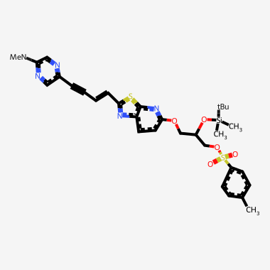 CNc1cnc(C#C/C=C/c2nc3ccc(OCC(COS(=O)(=O)c4ccc(C)cc4)O[Si](C)(C)C(C)(C)C)nc3s2)cn1